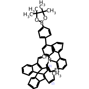 C=CC1=C(C=CCC)C2(C(/C=C/N(c3ccc(-c4ccc(B5OC(C)(C)C(C)(C)O5)cc4)cc3)c3ccccc3-c3ccccc3)=C(/C=C\C)c3ccccc32)c2ccccc21